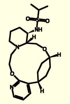 CC(C)S(=O)(=O)N[C@H]1CCCN2CCOc3ncccc3[C@H]3CC[C@H](CC3)OC[C@@H]12